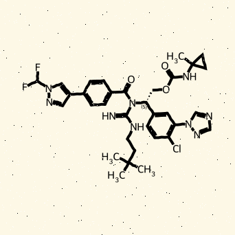 CC(C)(C)CCNC(=N)N(C(=O)c1ccc(-c2cnn(C(F)F)c2)cc1)[C@H](COC(=O)NC1(C)CC1)c1ccc(Cl)c(-n2cncn2)c1